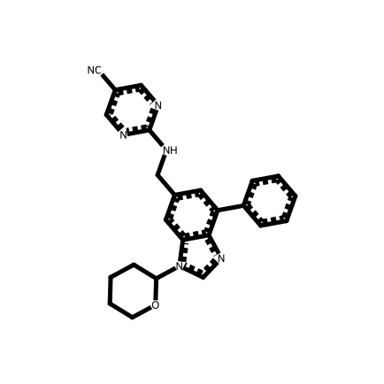 N#Cc1cnc(NCc2cc(-c3ccccc3)c3ncn(C4CCCCO4)c3c2)nc1